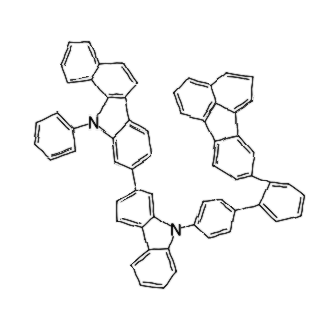 c1ccc(-n2c3cc(-c4ccc5c6ccccc6n(-c6ccc(-c7ccccc7-c7ccc8c(c7)-c7cccc9cccc-8c79)cc6)c5c4)ccc3c3ccc4ccccc4c32)cc1